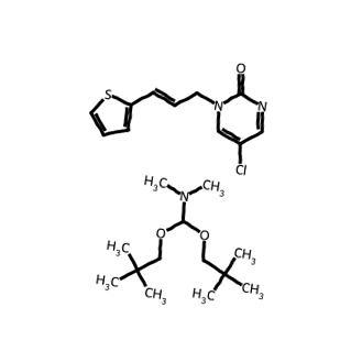 CN(C)C(OCC(C)(C)C)OCC(C)(C)C.O=c1ncc(Cl)cn1CC=Cc1cccs1